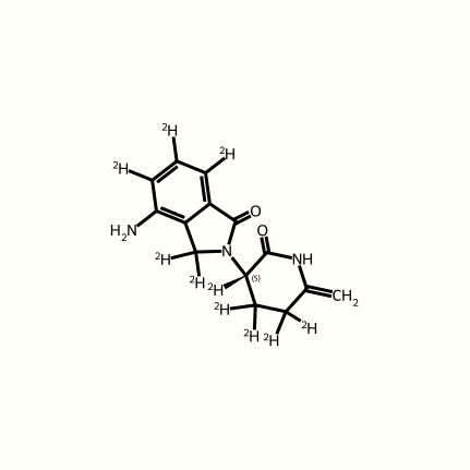 [2H]c1c([2H])c(N)c2c(c1[2H])C(=O)N([C@]1([2H])C(=O)NC(=C)C([2H])([2H])C1([2H])[2H])C2([2H])[2H]